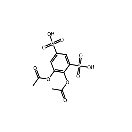 CC(=O)Oc1cc(S(=O)(=O)O)cc(S(=O)(=O)O)c1OC(C)=O